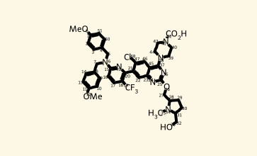 COc1ccc(CN(Cc2ccc(OC)cc2)c2ccc(C(F)(F)F)c(-c3cc4nc(OCC5CCC(CO)N5C)nc(N5CCN(C(=O)O)CC5)c4cc3Cl)n2)cc1